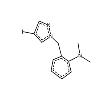 CN(C)c1ccccc1Cn1cc(I)cn1